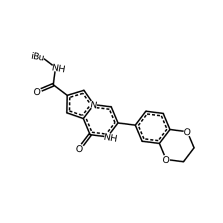 CCC(C)NC(=O)c1cc2c(=O)[nH]c(-c3ccc4c(c3)OCCO4)cn2c1